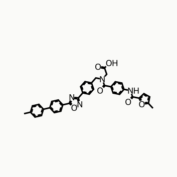 Cc1ccc(-c2ccc(-c3nc(-c4ccc(CN(CC(=O)O)C(=O)c5ccc(NC(=O)c6ccc(C)o6)cc5)cc4)no3)cc2)cc1